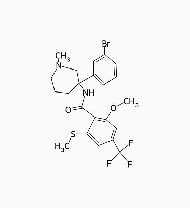 COc1cc(C(F)(F)F)cc(SC)c1C(=O)NC1(c2cccc(Br)c2)CCCN(C)C1